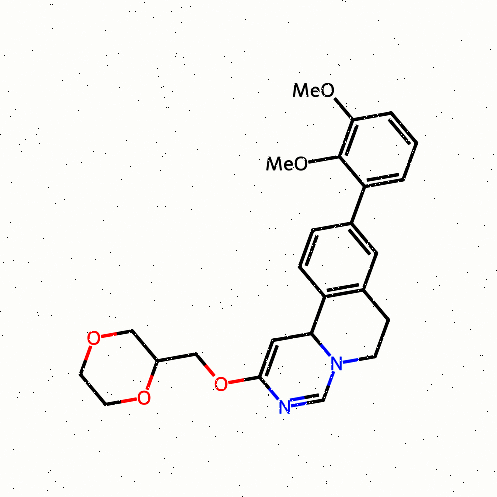 COc1cccc(-c2ccc3c(c2)CCN2C=NC(OCC4COCCO4)=CC32)c1OC